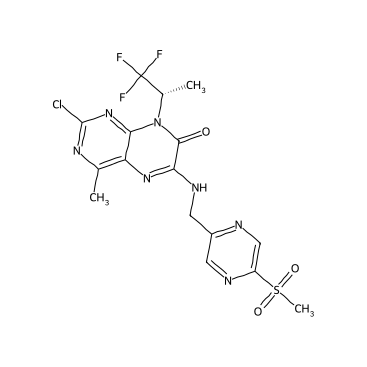 Cc1nc(Cl)nc2c1nc(NCc1cnc(S(C)(=O)=O)cn1)c(=O)n2[C@@H](C)C(F)(F)F